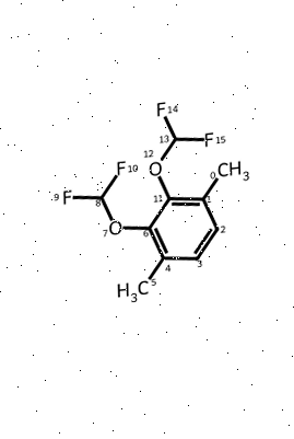 Cc1ccc(C)c(OC(F)F)c1OC(F)F